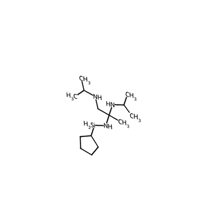 CC(C)NCC(C)(N[SiH2]C1CCCC1)NC(C)C